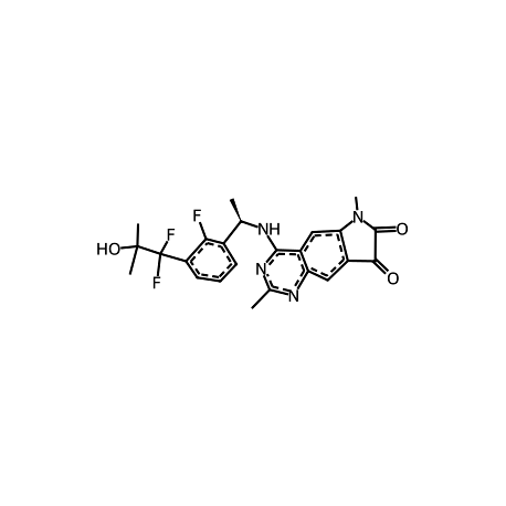 Cc1nc(N[C@H](C)c2cccc(C(F)(F)C(C)(C)O)c2F)c2cc3c(cc2n1)C(=O)C(=O)N3C